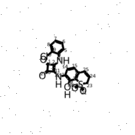 O=c1c(Nc2ccccc2Cl)c(Nc2ccc3c(c2O)S(=O)(=O)CC=C3)c1=O